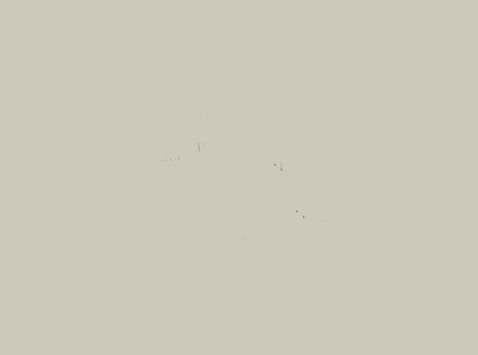 CSc1cc(B(O)O)cnc1N